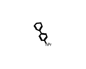 CCCc1ccc(C2=CCCC=C2)cc1